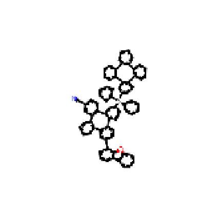 N#Cc1ccc2c(c1)-c1ccccc1-c1cc(-c3cccc4c3oc3ccccc34)ccc1-c1ccc([Si](c3ccccc3)(c3ccccc3)c3ccc4c(c3)-c3ccccc3-c3ccccc3-c3ccccc3-4)cc1-2